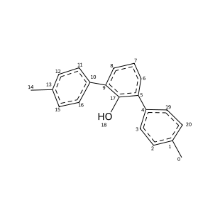 Cc1ccc(-c2cccc(-c3ccc(C)cc3)c2O)cc1